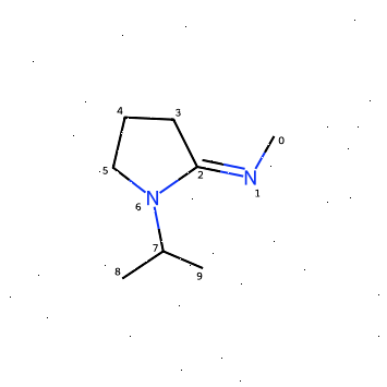 C/N=C1\CCCN1C(C)C